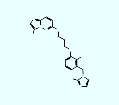 Cc1c(Cn2ccnc2[N+](=O)[O-])cccc1OCCCSc1ccc2ncc([N+](=O)[O-])n2n1